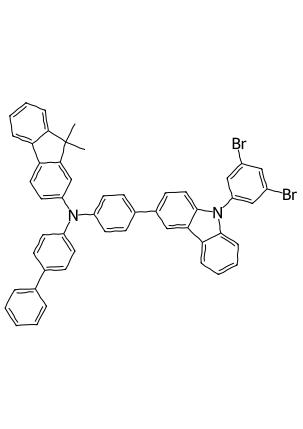 CC1(C)c2ccccc2-c2ccc(N(c3ccc(-c4ccccc4)cc3)c3ccc(-c4ccc5c(c4)c4ccccc4n5-c4cc(Br)cc(Br)c4)cc3)cc21